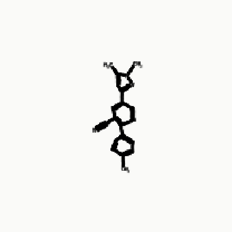 Cc1ccc(-c2ccc(-c3cc(C)n(C)n3)cc2C#N)cc1